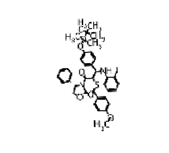 COc1ccc(CS[C@@H](C(=O)N2C(=O)OC[C@@H]2c2ccccc2)[C@H](Nc2ccccc2I)c2ccc(O[Si](C)(C)C(C)(C)C)cc2)cc1